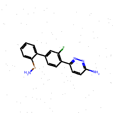 NSc1ccccc1-c1ccc(-c2ccc(N)nn2)c(F)c1